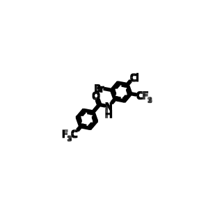 O=C(Nc1cc(C(F)(F)F)c(Cl)cc1Br)c1ccc(C(F)(F)F)cc1